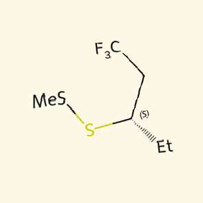 CC[C@@H](CC(F)(F)F)SSC